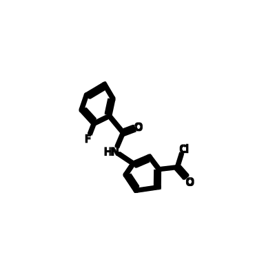 O=C(Cl)c1cccc(NC(=O)c2ccccc2F)c1